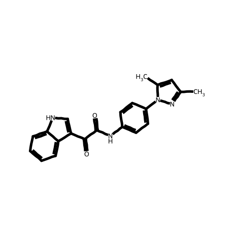 Cc1cc(C)n(-c2ccc(NC(=O)C(=O)c3c[nH]c4ccccc34)cc2)n1